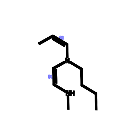 C/C=C\N(/C=C\NC)CCCC